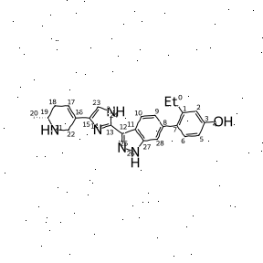 CCc1cc(O)ccc1-c1ccc2c(-c3nc(C4=CC[C@@H](C)NC4)c[nH]3)n[nH]c2c1